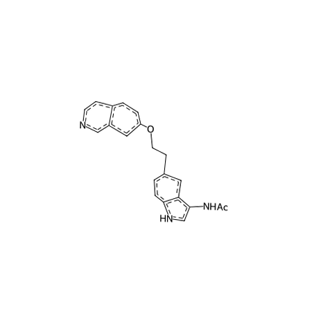 CC(=O)Nc1c[nH]c2ccc(CCOc3ccc4ccncc4c3)cc12